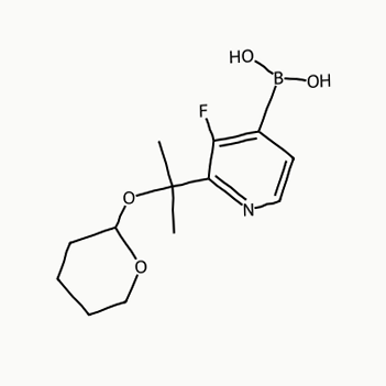 CC(C)(OC1CCCCO1)c1nccc(B(O)O)c1F